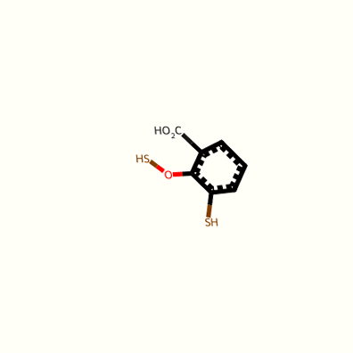 O=C(O)c1cccc(S)c1OS